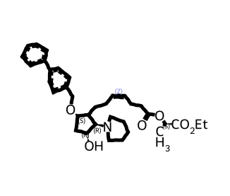 CCOC(=O)[C@H](C)OC(=O)CC/C=C\CCC1[C@@H](OCc2ccc(-c3ccccc3)cc2)C[C@@H](O)[C@@H]1N1CCCCC1